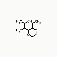 CCC1OCCOC1C(C)C(C)C